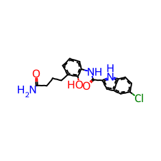 NC(=O)CCCc1cccc(NC(=O)c2cc3cc(Cl)ccc3[nH]2)c1O